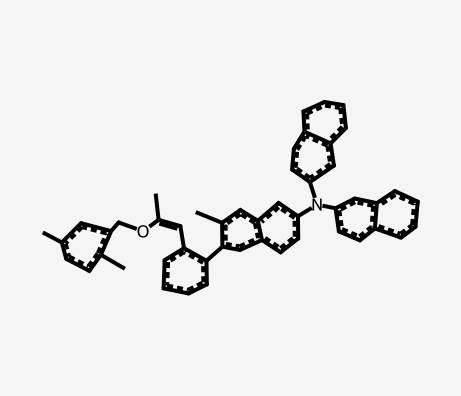 CC(=Cc1ccccc1-c1cc2ccc(N(c3ccc4ccccc4c3)c3ccc4ccccc4c3)cc2cc1C)OCc1cc(C)ccc1C